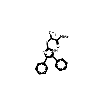 CNC(=O)C(C)Sc1nc(-c2ccccc2)c(-c2ccccc2)[nH]1